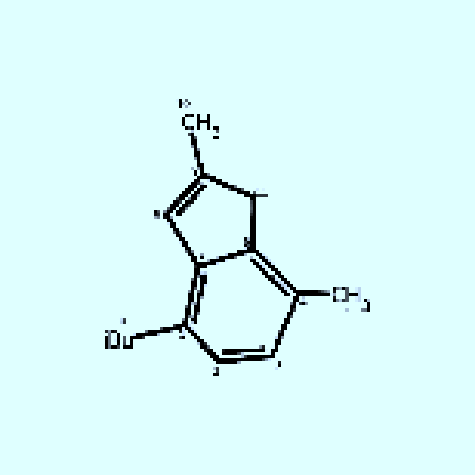 CCC(C)c1ccc(C)c2c1C=C(C)[CH]2